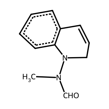 CN(C=O)N1CC=Cc2ccccc21